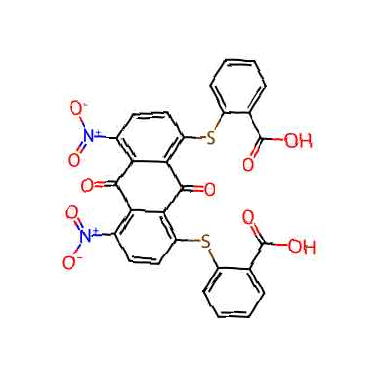 O=C(O)c1ccccc1Sc1ccc([N+](=O)[O-])c2c1C(=O)c1c(Sc3ccccc3C(=O)O)ccc([N+](=O)[O-])c1C2=O